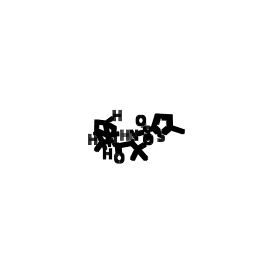 Cc1ccc(S(=O)(=O)N[C@H](C(=O)N2C[C@H]3C[C@@H]([C@H]2C)C3(C)C)C(C)(C)C)s1